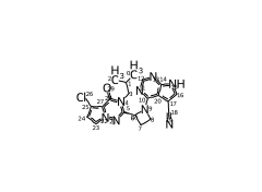 CC(C)Cn1c([C@@H]2CCN2c2ncnc3[nH]cc(C#N)c23)nn2ccc(Cl)c2c1=O